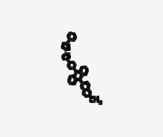 Cc1ccc2cc(-c3c4ccccc4c(-c4ccc(-c5ccc(-c6ccc(-c7ccccc7)s6)s5)cc4)c4ccccc34)ccc2c1